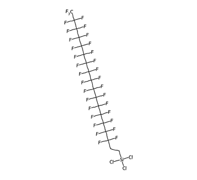 FC(F)(F)C(F)(F)C(F)(F)C(F)(F)C(F)(F)C(F)(F)C(F)(F)C(F)(F)C(F)(F)C(F)(F)C(F)(F)C(F)(F)C(F)(F)C(F)(F)C(F)(F)C(F)(F)CC[Si](Cl)(Cl)Cl